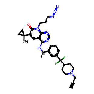 C#CCN1CCC(C(F)(F)c2cccc([C@@H](C)Nc3ncnc4c3cc(C3(C#N)CC3)c(=O)n4CCCN=[N+]=[N-])c2)CC1